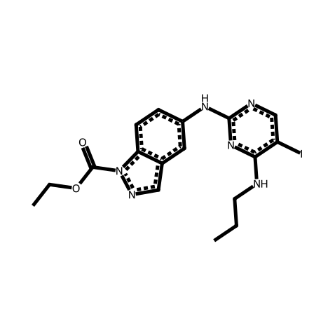 CCCNc1nc(Nc2ccc3c(cnn3C(=O)OCC)c2)ncc1I